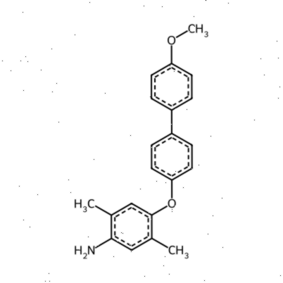 COc1ccc(-c2ccc(Oc3cc(C)c(N)cc3C)cc2)cc1